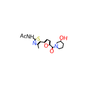 CC(=O)Nc1nc(C)c(-c2ccc(C(=O)N3CCCC(O)C3)o2)s1